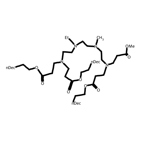 CCCCCCCCCCCCOC(=O)CCN(CCC(=O)OC)CCN(C)CCN(CC)CCN(CCC(=O)OCCCCCCCCCCCC)CCC(=O)OCCCCCCCCCCCC